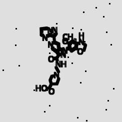 COc1cc2c(cc1-n1nc(C(=O)NCCN3CCC(C(=O)O)CC3)c3cnc(-c4cnn5cccnc45)cc31)OCCN2